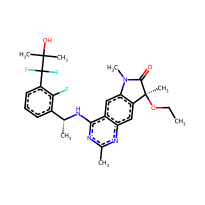 CCO[C@]1(C)C(=O)N(C)c2cc3c(N[C@H](C)c4cccc(C(F)(F)C(C)(C)O)c4F)nc(C)nc3cc21